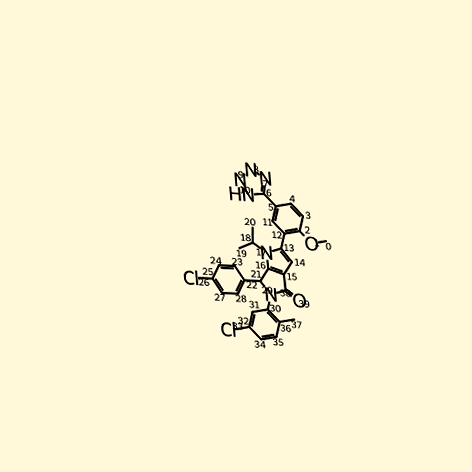 COc1ccc(-c2nnn[nH]2)cc1-c1cc2c(n1C(C)C)C(c1ccc(Cl)cc1)N(c1cc(Cl)ccc1C)C2=O